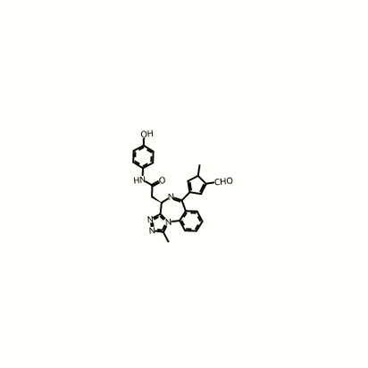 Cc1nnc2n1-c1ccccc1C(C1=CC(C)C(C=O)=C1)=N[C@@H]2CC(=O)Nc1ccc(O)cc1